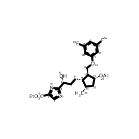 CCOC(=O)c1csc([C@H](O)CC[C@@H]2[C@@H](COc3cc(F)cc(F)c3)[C@H](OC(C)=O)C[C@@H]2C)n1